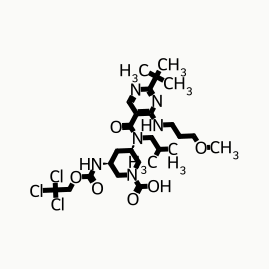 COCCCNc1nc(C(C)(C)C)ncc1C(=O)N(CC(C)C)[C@H]1C[C@@H](NC(=O)OCC(Cl)(Cl)Cl)CN(C(=O)O)C1